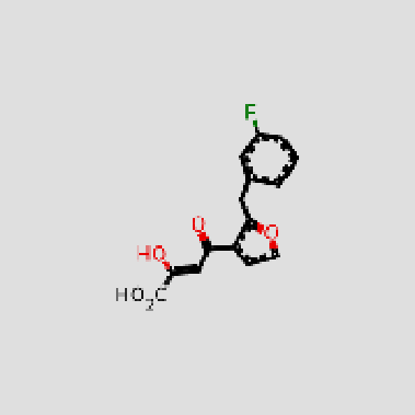 O=C(O)C(O)=CC(=O)c1ccoc1Cc1cccc(F)c1